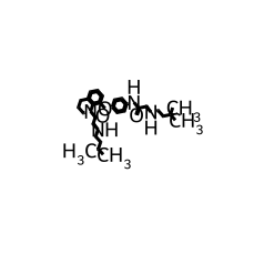 CC(C)CCNCC(=O)Nc1ccc(Oc2cccc3c2N(C(=O)CNCCC(C)C)CCC3)cc1